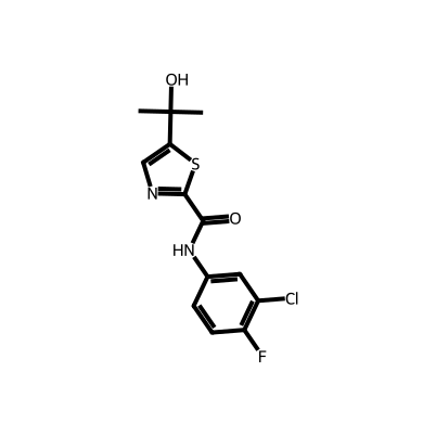 CC(C)(O)c1cnc(C(=O)Nc2ccc(F)c(Cl)c2)s1